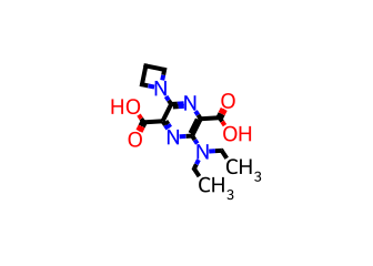 CCN(CC)c1nc(C(=O)O)c(N2CCC2)nc1C(=O)O